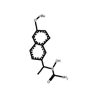 CCCCOc1ccc2cc(C(C)N(O)C(N)=O)ccc2c1